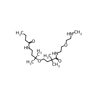 CCCC(=O)NCCC(C)(C)OCCC(C)(C)C(=O)NCCOCCNC